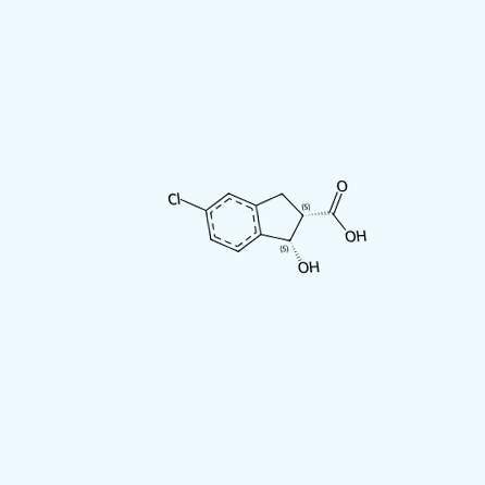 O=C(O)[C@H]1Cc2cc(Cl)ccc2[C@H]1O